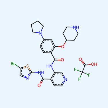 O=C(Nc1ncc(Br)s1)c1ccncc1NC(=O)c1ccc(N2CCCC2)cc1OC1CCNCC1.O=C(O)C(F)(F)F